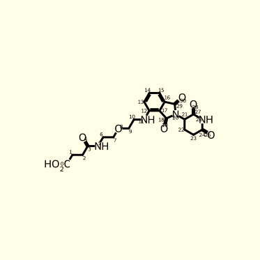 O=C(O)CCC(=O)NCCOCCNc1cccc2c1C(=O)N(C1CCC(=O)NC1=O)C2=O